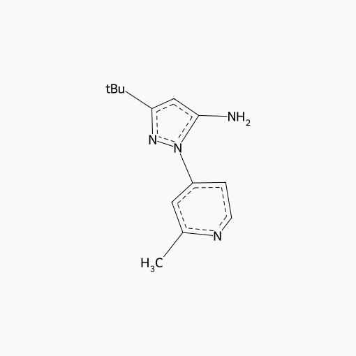 Cc1cc(-n2nc(C(C)(C)C)cc2N)ccn1